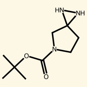 CC(C)(C)OC(=O)N1CCC2(C1)NN2